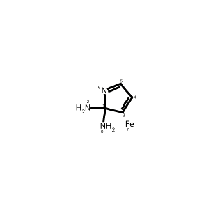 NC1(N)C=CC=N1.[Fe]